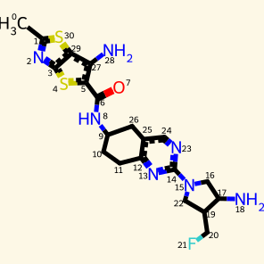 Cc1nc2sc(C(=O)NC3CCc4nc(N5CC(N)C(CF)C5)ncc4C3)c(N)c2s1